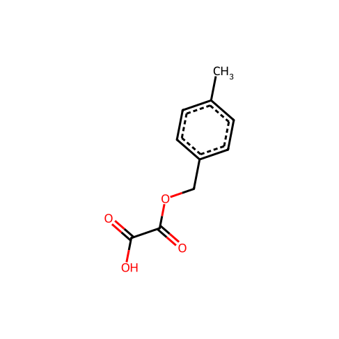 Cc1ccc(COC(=O)C(=O)O)cc1